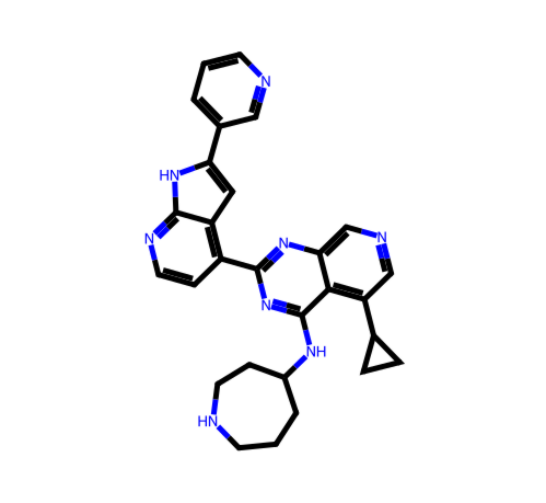 c1cncc(-c2cc3c(-c4nc(NC5CCCNCC5)c5c(C6CC6)cncc5n4)ccnc3[nH]2)c1